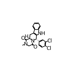 CN1CC(=O)N2[C@@H](c3ccc(Cl)c(Cl)c3)c3[nH]c4ccccc4c3C[C@@H]2C1=O